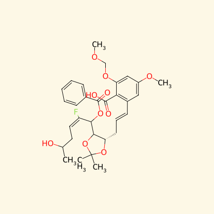 COCOc1cc(OC)cc(/C=C/C[C@@H]2OC(C)(C)OC2C(OC(=O)c2ccccc2)/C(F)=C\CC(C)O)c1C(=O)O